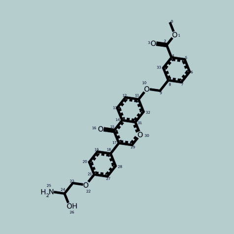 COC(=O)c1cccc(COc2ccc3c(=O)c(-c4ccc(OCC(N)O)cc4)coc3c2)c1